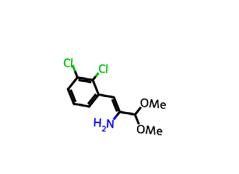 COC(OC)C(N)=Cc1cccc(Cl)c1Cl